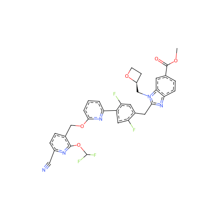 COC(=O)c1ccc2nc(Cc3cc(F)c(-c4cccc(OCc5ccc(C#N)nc5OC(F)F)n4)cc3F)n(C[C@@H]3CCO3)c2c1